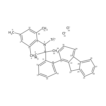 Cc1cc(C)c([N]([Ti+2])C(C)(C)c2ccccc2-c2cccc3c2Cc2ccccc2-3)c(C)c1.[Cl-].[Cl-]